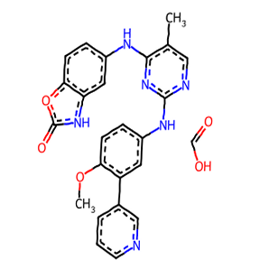 COc1ccc(Nc2ncc(C)c(Nc3ccc4oc(=O)[nH]c4c3)n2)cc1-c1cccnc1.O=CO